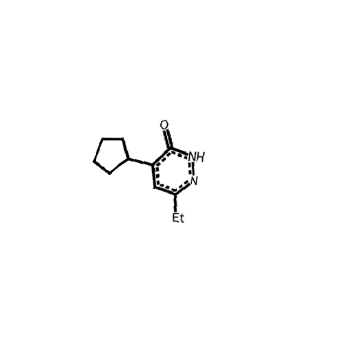 CCc1cc(C2CCCC2)c(=O)[nH]n1